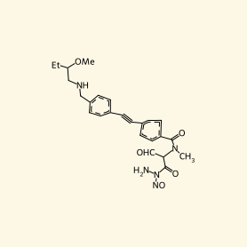 CCC(CNCc1ccc(C#Cc2ccc(C(=O)N(C)C(C=O)C(=O)N(N)N=O)cc2)cc1)OC